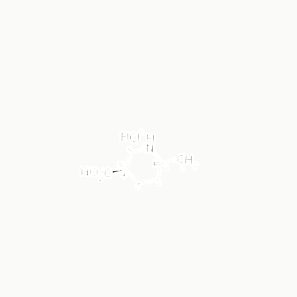 C[C@@H]1CC[C@@H](C(=O)O)CN1.Cl